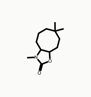 CN1C(=O)OC2CCC(C)(C)CCCC21